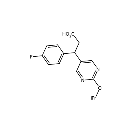 CC(C)Oc1ncc(C(CC(=O)O)c2ccc(F)cc2)cn1